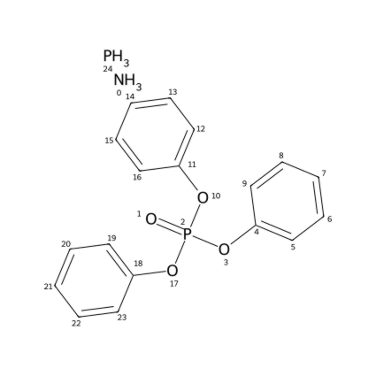 N.O=P(Oc1ccccc1)(Oc1ccccc1)Oc1ccccc1.P